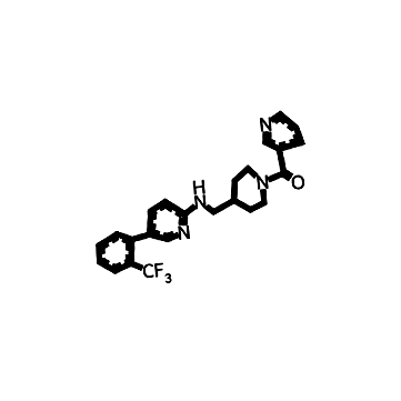 O=C(c1cccnc1)N1CCC(CNc2ccc(-c3ccccc3C(F)(F)F)cn2)CC1